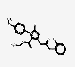 CCOC(=O)c1c(CC(=O)Cc2ccccc2F)cc(Cl)n1-c1ccc(OC)cc1